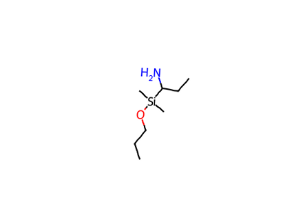 CCCO[Si](C)(C)C(N)CC